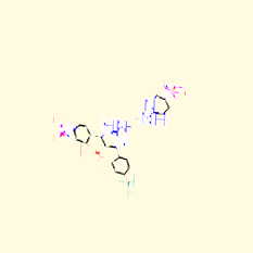 O=C(O)c1c(-c2ccc([N+](=O)[O-])cc2)nc(NCCNc2ccc([N+](=O)[O-])cn2)nc1-c1ccc(C(F)(F)F)cc1